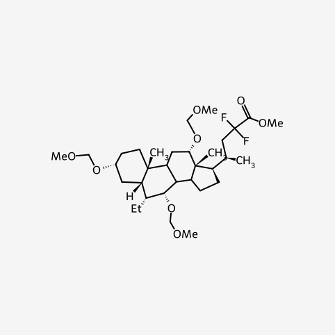 CC[C@H]1[C@@H](OCOC)C2C3CC[C@H]([C@H](C)CC(F)(F)C(=O)OC)[C@@]3(C)[C@@H](OCOC)CC2[C@@]2(C)CC[C@@H](OCOC)C[C@@H]12